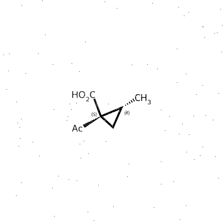 CC(=O)[C@]1(C(=O)O)C[C@H]1C